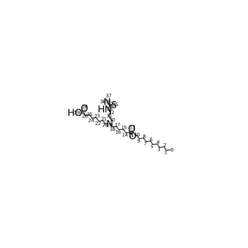 CCCCCCCCCCCOC(=O)CCCCCN(CCCCCCCC(=O)O)CCCNC(=S)N(C)C